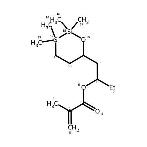 C=C(C)C(=O)OC(CC)CC1CC[Si](C)(C)[Si](C)(C)O1